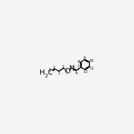 C=CCCON=[C]c1ccccc1